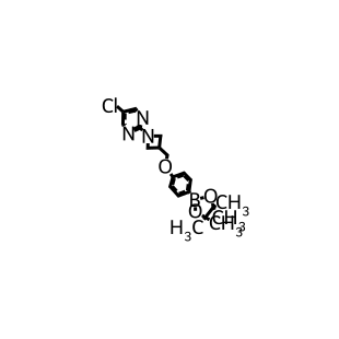 CC1(C)OB(c2ccc(OCC3CN(c4ncc(Cl)cn4)C3)cc2)OC1(C)C